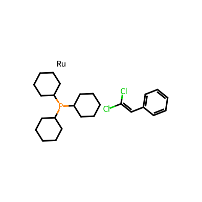 C1CCC(P(C2CCCCC2)C2CCCCC2)CC1.ClC(Cl)=Cc1ccccc1.[Ru]